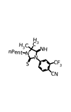 CCCCCN1C(=S)N(c2ccc(C#N)c(C(F)(F)F)c2)C(=N)C1(C)C